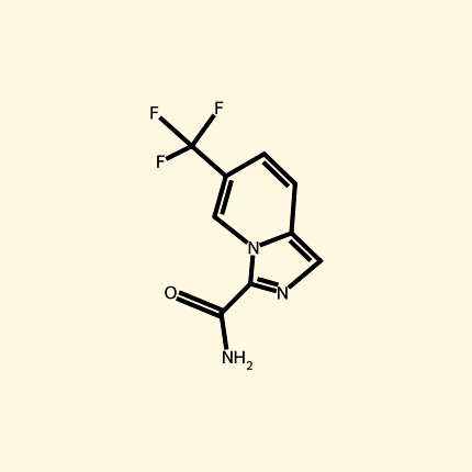 NC(=O)c1ncc2ccc(C(F)(F)F)cn12